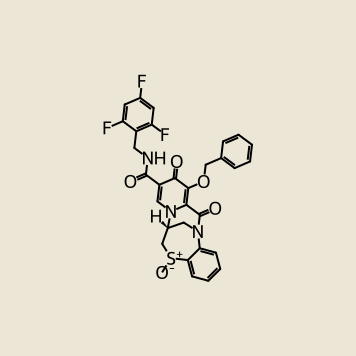 O=C(NCc1c(F)cc(F)cc1F)c1cn2c(c(OCc3ccccc3)c1=O)C(=O)N1C[C@@H]2C[S+]([O-])c2ccccc21